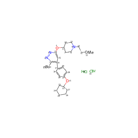 CCCCc1nnc(OC2CCN(CCOC)CC2)cc1-c1ccc(OC2CCCCC2)cc1.Cl.Cl